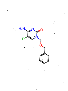 Nc1nc(=O)n(COCc2ccccc2)cc1F